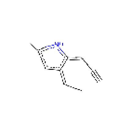 C#C/C=c1/[nH]c(C)c/c1=C/C